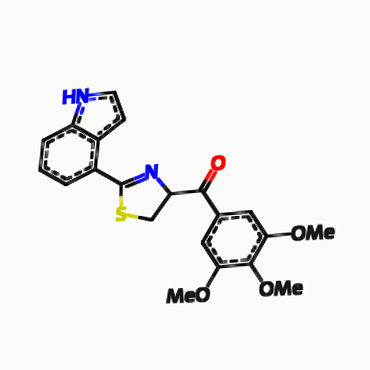 COc1cc(C(=O)C2CSC(c3cccc4[nH]ccc34)=N2)cc(OC)c1OC